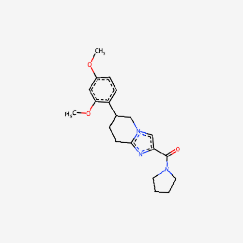 COc1ccc(C2CCc3nc(C(=O)N4CCCC4)cn3C2)c(OC)c1